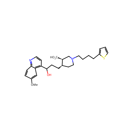 COc1ccc2nccc(C(O)CC[C@@H]3CCN(CCCCc4cccs4)C[C@@H]3C(=O)O)c2c1